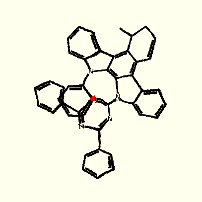 CC1CC=Cc2c1c1c3ccccc3n(-c3ccccc3)c1c1c2c2ccccc2n1-c1nc(-c2ccccc2)nc(-c2ccccc2)n1